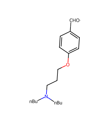 CCCCN(CCCC)CCCOc1ccc([C]=O)cc1